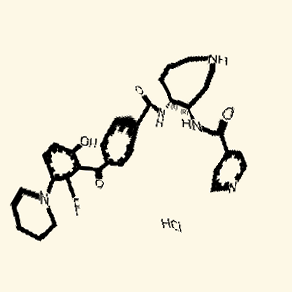 Cl.O=C(N[C@@H]1CCCNC[C@H]1NC(=O)c1ccncc1)c1ccc(C(=O)c2c(O)ccc(N3CCCCC3)c2F)cc1